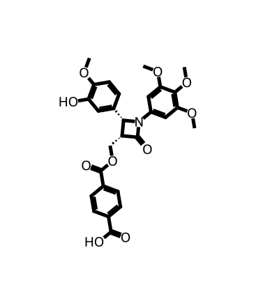 COc1ccc([C@H]2[C@@H](COC(=O)c3ccc(C(=O)O)cc3)C(=O)N2c2cc(OC)c(OC)c(OC)c2)cc1O